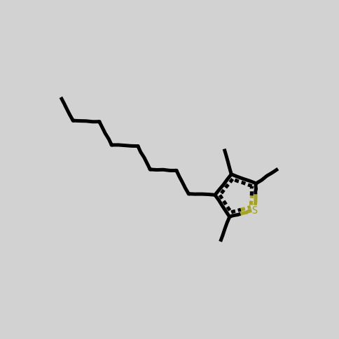 CCCCCCCCc1c(C)sc(C)c1C